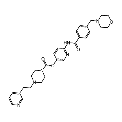 O=C(Nc1ccc(OC(=O)N2CCN(CCc3cccnc3)CC2)cn1)c1ccc(CN2CCOCC2)cc1